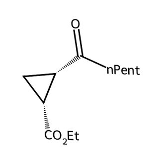 CCCCCC(=O)[C@H]1C[C@H]1C(=O)OCC